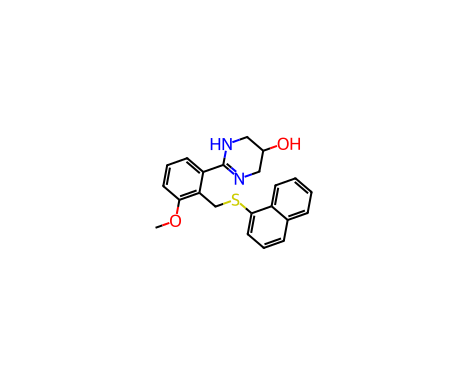 COc1cccc(C2=NCC(O)CN2)c1CSc1cccc2ccccc12